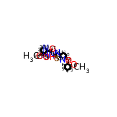 COc1ccccc1Oc1ccc2nc(NC(=O)c3nccc(OC)c3O)sc2n1